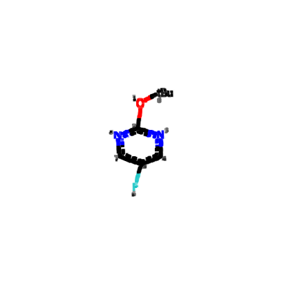 CC(C)(C)Oc1ncc(F)cn1